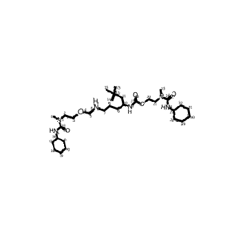 CN(CCOCNCCCC(CC(C)(C)C)NC(=O)OCCN(C)C(=O)NC1CCCCC1)C(=O)NC1CCCCC1